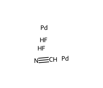 C#N.F.F.[Pd].[Pd]